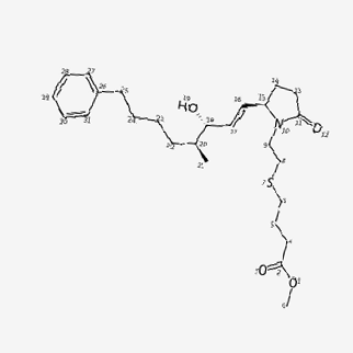 COC(=O)CCCSCCN1C(=O)CC[C@@H]1/C=C/[C@@H](O)[C@@H](C)CCCCc1ccccc1